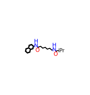 CC(C)C(=O)NCCCCCCC(=O)Nc1ccc2ccccc2c1